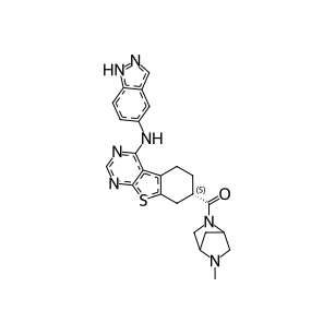 CN1CC2CC1CN2C(=O)[C@H]1CCc2c(sc3ncnc(Nc4ccc5[nH]ncc5c4)c23)C1